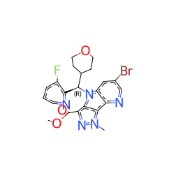 COC(=O)c1nn(C)c2c3ncc(Br)cc3n([C@@H](c3ncccc3F)C3CCOCC3)c12